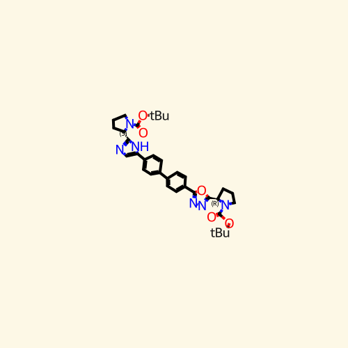 CC(C)(C)OC(=O)N1CCC[C@@H]1c1nnc(-c2ccc(-c3ccc(-c4cnc([C@@H]5CCCN5C(=O)OC(C)(C)C)[nH]4)cc3)cc2)o1